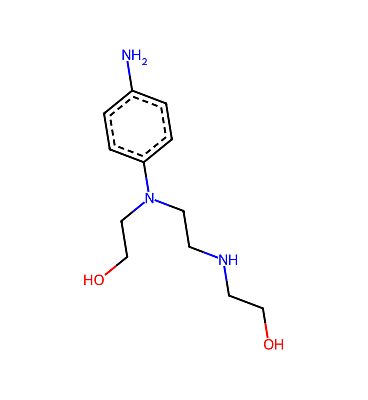 Nc1ccc(N(CCO)CCNCCO)cc1